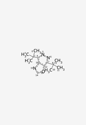 CC(C)(C)c1nnc(C(C)(C)C)c2ocnc12